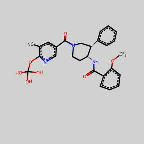 N#Cc1cc(C(=O)N2CC[C@@H](NC(=O)c3ccccc3OC(F)(F)F)[C@@H](c3ccccc3)C2)cnc1OC(O)(O)O